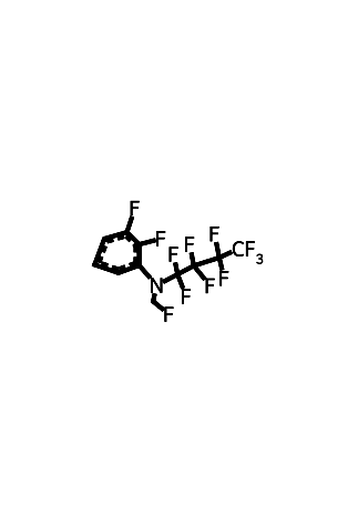 FCN(c1cccc(F)c1F)C(F)(F)C(F)(F)C(F)(F)C(F)(F)F